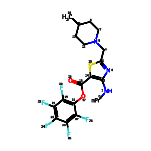 CCCNc1nc(CN2CCC(C)CC2)sc1C(=O)Oc1c(F)c(F)c(F)c(F)c1F